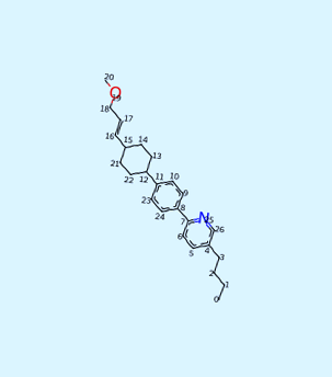 CCCCc1ccc(-c2ccc(C3CCC(/C=C/COC)CC3)cc2)nc1